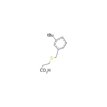 CC(C)(C)c1cccc(CSCCC(=O)O)c1